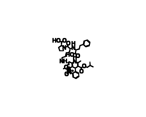 COC(=O)C1=C(C)NC(C)=C(C(=O)OCC(C)C)C1c1ccccc1[N+](=O)[O-].NCCCC[C@H](N[C@@H](CCc1ccccc1)C(=O)O)C(=O)N1CCC[C@H]1C(=O)O